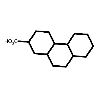 O=C(O)C1CCC2C(CCC3CCCCC32)C1